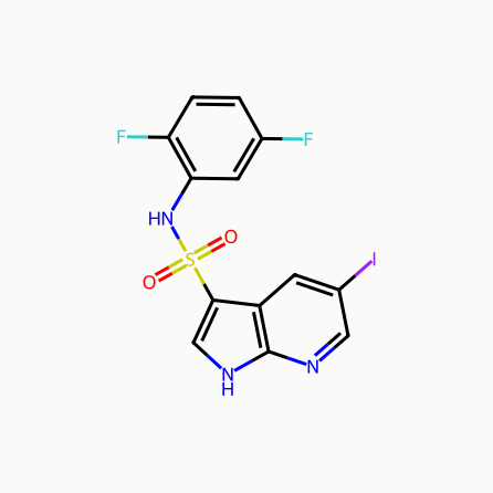 O=S(=O)(Nc1cc(F)ccc1F)c1c[nH]c2ncc(I)cc12